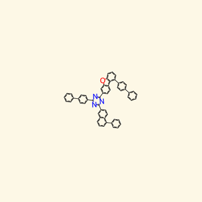 c1ccc(-c2ccc(-c3nc(-c4ccc5c(-c6ccccc6)cccc5c4)nc(-c4ccc5c(c4)oc4cccc(-c6ccc(-c7ccccc7)cc6)c45)n3)cc2)cc1